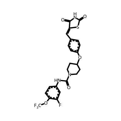 O=C1NC(=O)C(=Cc2ccc(OC3CCN(C(=O)Nc4ccc(OC(F)(F)F)c(F)c4)CC3)cc2)S1